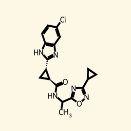 CC(NC(=O)[C@H]1C[C@@H]1c1nc2cc(Cl)ccc2[nH]1)c1nc(C2CC2)no1